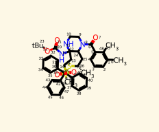 Cc1cccc(C(=O)N2CCNC(CCS(C)(=O)=O)(NC(=O)OC(C)(C)C)C2C[C@H](C)SC(c2ccccc2)(c2ccccc2)c2ccccc2)c1C